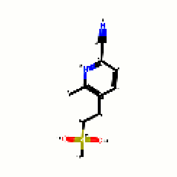 Cc1nc(C#N)ccc1CCS(C)(=O)=O